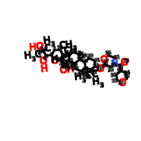 C[C@@H]1CC([C@H](O)C(C)(C)O)OC2C1[C@@]1(C)CCC34C[C@@]35CC[C@H](OC3CN(C(=O)C6CCOCC6)CCO3)C(C)(C)[C@@H]5CC[C@H]4[C@]1(C)[C@H]2O